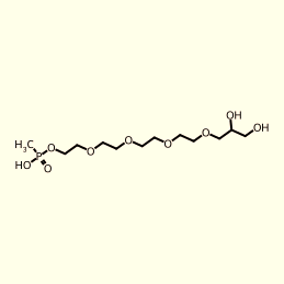 CP(=O)(O)OCCOCCOCCOCCOCC(O)CO